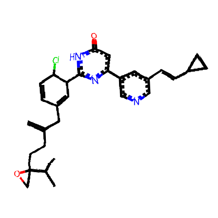 C=C(CCC1(C(C)C)CO1)CC1=CC(c2nc(-c3cncc(C=CC4CC4)c3)cc(=O)[nH]2)C(Cl)C=C1